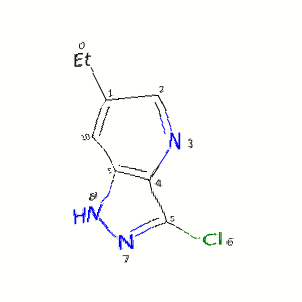 CCc1cnc2c(Cl)n[nH]c2c1